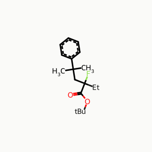 CCC(F)(CC(C)(C)c1ccccc1)C(=O)OC(C)(C)C